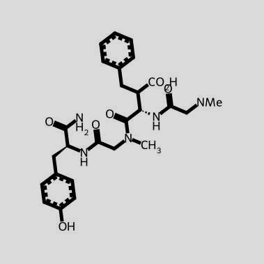 CNCC(=O)N[C@H](C(=O)N(C)CC(=O)N[C@@H](Cc1ccc(O)cc1)C(N)=O)C(Cc1ccccc1)C(=O)O